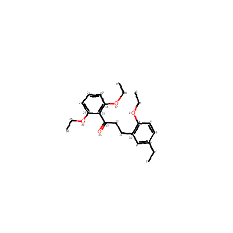 CCOc1ccc(CC)cc1CCC(=O)c1c(OCC)cccc1OCC